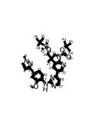 COc1cc(-c2ccn(C)n2)ccc1Nc1nccc(-c2cnc3c(c2)C(C)(CO[Si](C)(C)C(C)(C)C)CN3C(=O)OC(C)(C)C)n1